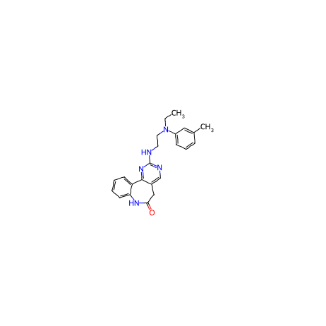 CCN(CCNc1ncc2c(n1)-c1ccccc1NC(=O)C2)c1cccc(C)c1